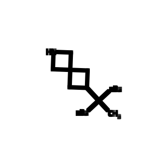 CCCCC(C)(CCCC)C1CC2(CNC2)C1